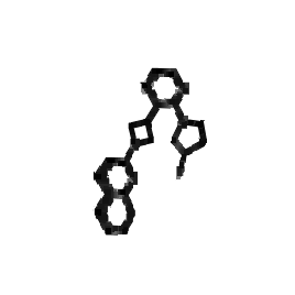 FC1CCN(c2nccnc2C2CN(c3ccc4ccccc4n3)C2)C1